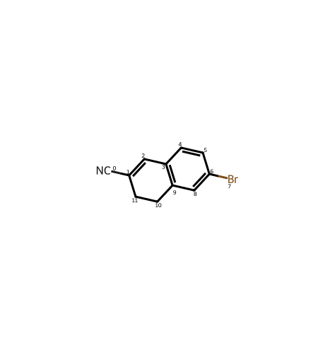 N#CC1=Cc2ccc(Br)cc2CC1